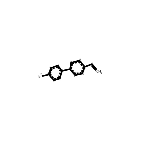 C=Cc1ccc(-c2ccc(Br)cc2)cc1